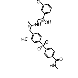 CNC(=O)c1ccc(S(=O)(=O)c2ccc(C[C@@H](C)NC[C@H](O)c3cccc(Cl)c3)cc2)cc1.Cl